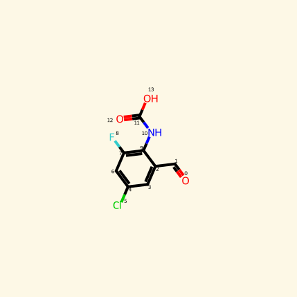 O=Cc1cc(Cl)cc(F)c1NC(=O)O